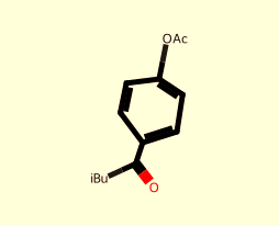 CCC(C)C(=O)c1ccc(OC(C)=O)cc1